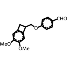 COc1cc2c(cc1OC)C(COc1ccc(C=O)cc1)C2